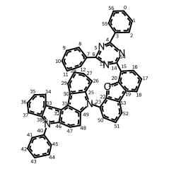 c1ccc(-c2nc(-c3ccccc3)nc(-c3cccc4c3oc3c(-n5c6ccccc6c6c7c8ccccc8n(-c8ccccc8)c7ccc65)cccc34)n2)cc1